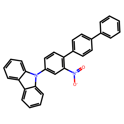 O=[N+]([O-])c1cc(-n2c3ccccc3c3ccccc32)ccc1-c1ccc(-c2ccccc2)cc1